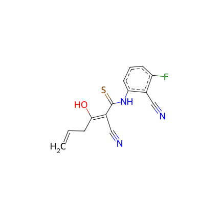 C=CC/C(O)=C(\C#N)C(=S)Nc1cccc(F)c1C#N